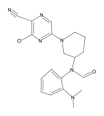 CN(C)c1ccccc1N(C=O)C1CCCN(c2cnc(C#N)c(Cl)n2)C1